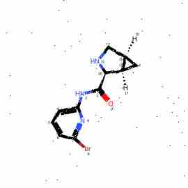 O=C(Nc1cccc(Br)n1)[C@H]1NC[C@H]2C[C@H]21